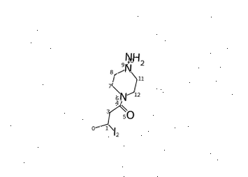 CC(I)CC(=O)N1CCN(N)CC1